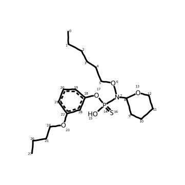 CCCCCCON(C1CCCCO1)P(O)(=S)Oc1cccc(OCCCC)c1